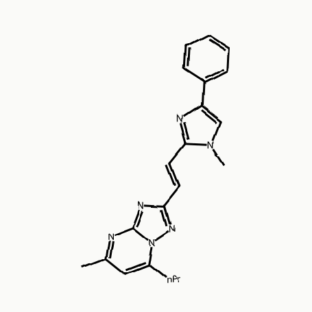 CCCc1cc(C)nc2nc(/C=C/c3nc(-c4ccccc4)cn3C)nn12